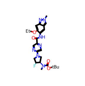 CCOc1cc2nn(C)cc2cc1NC(=O)c1cnc(N2C[C@@H](N(C)C(=O)OC(C)(C)C)[C@@H](F)C2)cn1